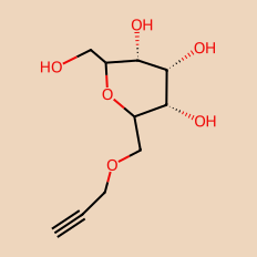 C#CCOCC1OC(CO)[C@H](O)[C@H](O)[C@@H]1O